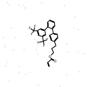 C=CC(=O)OCCCc1ccc(-c2ccccc2-c2cc(C(F)(F)F)cc(C(F)(F)F)c2)cc1